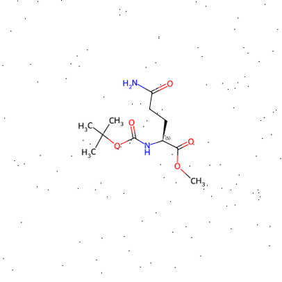 COC(=O)[C@H](CCC(N)=O)NC(=O)OC(C)(C)C